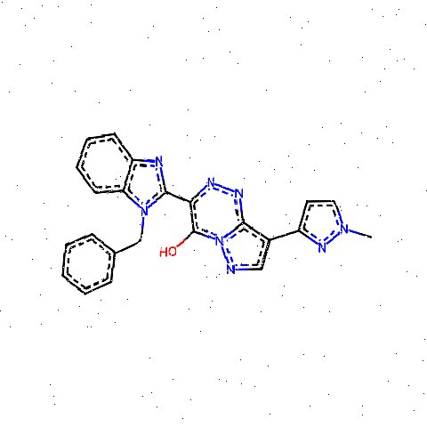 Cn1ccc(-c2cnn3c(O)c(-c4nc5ccccc5n4Cc4ccccc4)nnc23)n1